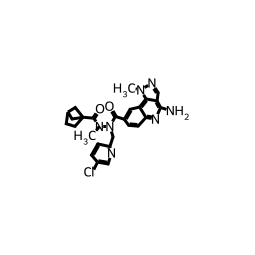 CN(C(=O)C12CCC(C1)C2)N(Cc1ccc(Cl)cn1)C(=O)c1ccc2nc(N)c3cnn(C)c3c2c1